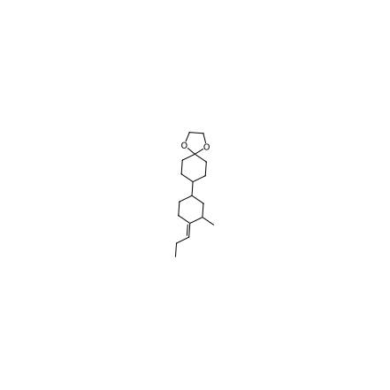 CCC=C1CCC(C2CCC3(CC2)OCCO3)CC1C